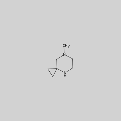 [CH2]N1CCNC2(CC2)C1